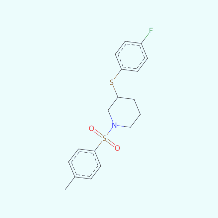 Cc1ccc(S(=O)(=O)N2CCCC(Sc3ccc(F)cc3)C2)cc1